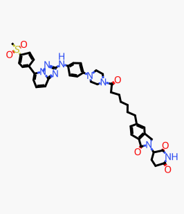 CS(=O)(=O)c1ccc(-c2cccc3nc(Nc4ccc(N5CCN(C(=O)CCCCCCc6ccc7c(c6)CN(C6CCC(=O)NC6=O)C7=O)CC5)cc4)nn23)cc1